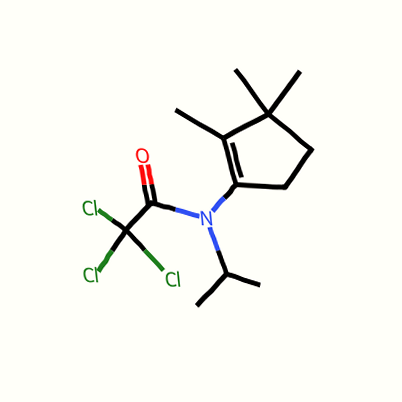 CC1=C(N(C(=O)C(Cl)(Cl)Cl)C(C)C)CCC1(C)C